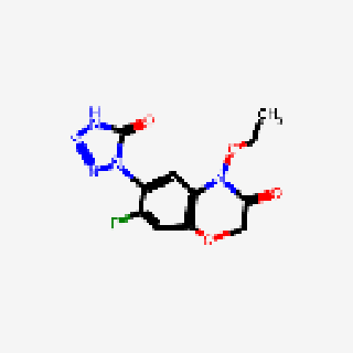 CCON1C(=O)COc2cc(F)c(-n3nn[nH]c3=O)cc21